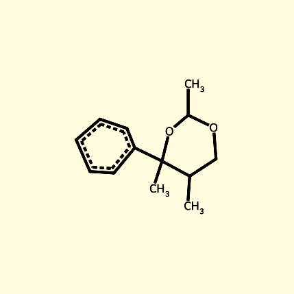 CC1OCC(C)C(C)(c2ccccc2)O1